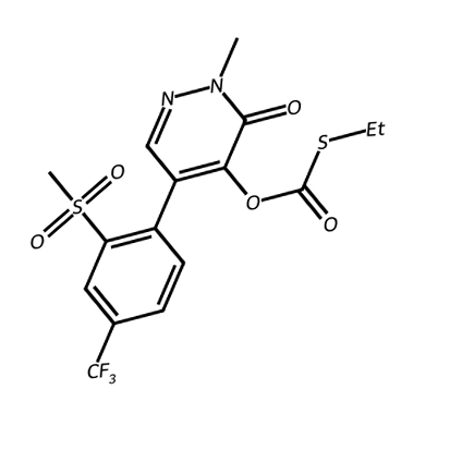 CCSC(=O)Oc1c(-c2ccc(C(F)(F)F)cc2S(C)(=O)=O)cnn(C)c1=O